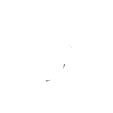 CC(C)C[C@@H]1C[C@@H]1C1CCN(C(C)C)CC1